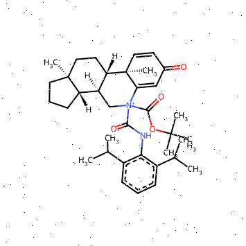 CC(C)c1cccc(C(C)C)c1NC(=O)[N+]1(C(=O)OC(C)(C)C)C[C@H]2[C@@H]3CCC[C@@]3(C)CC[C@@H]2[C@@]2(C)C=CC(=O)C=C21